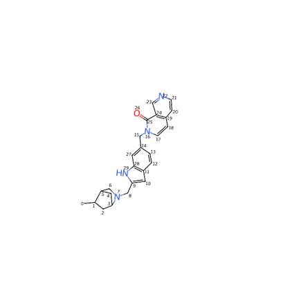 CC1CC2CC1CN2Cc1cc2ccc(Cn3ccc4ccncc4c3=O)cc2[nH]1